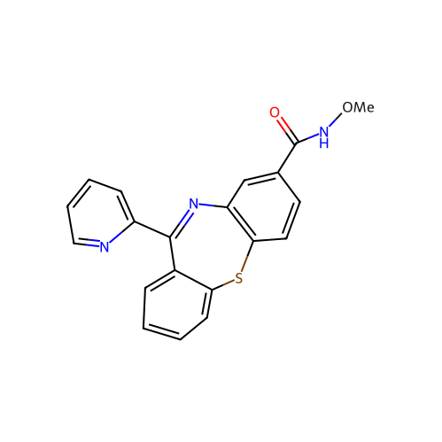 CONC(=O)c1ccc2c(c1)N=C(c1ccccn1)c1ccccc1S2